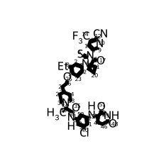 CCc1cc(N2C(=S)N(c3cnc(C#N)c(C(F)(F)F)c3)C(=O)C23CCC3)ccc1OCCC1CCN([C@H](C)C(=O)Nc2cc(Cl)cc(NC3CCC(=O)NC3=O)c2)CC1